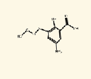 Nc1cc(SOOO)c(O)c(C(=O)O)c1